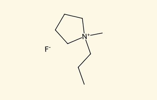 CCC[N+]1(C)CCCC1.[F-]